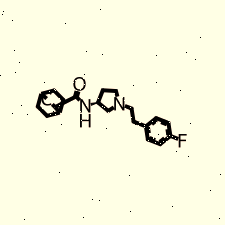 O=C(N[C@H]1CCN(CCc2ccc(F)cc2)C1)C1CC2CCC1CC2